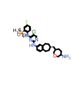 CP(C)(=O)c1cc(F)ccc1Nc1nc(Nc2ccc3c(c2)CC[C@@H](CC2CCC(N)COC2)CC3)ncc1Cl